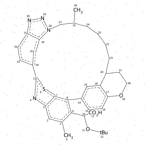 Cc1cc2nc3sc2c(c1C(OC(C)(C)C)C(=O)O)-c1ccc2c(c1)C(CCCCC(C)Cn1nnc4ccc-3cc41)CCO2